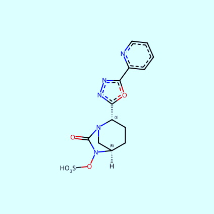 O=C1N2C[C@@H](CC[C@H]2c2nnc(-c3ccccn3)o2)N1OS(=O)(=O)O